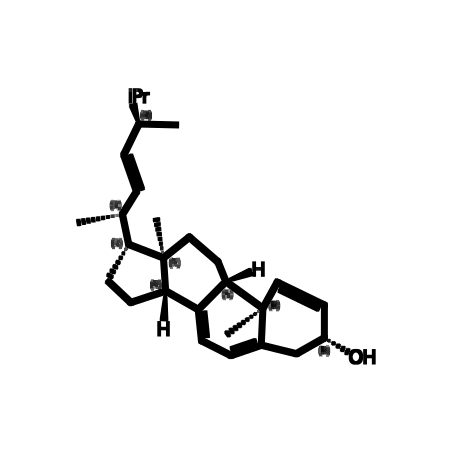 CC(C)[C@@H](C)C=C[C@@H](C)[C@H]1CC[C@H]2C3=CC=C4C[C@@H](O)C=C[C@]4(C)[C@H]3CC[C@]12C